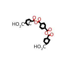 O=C(O)c1ccc(C(=O)OC(=O)c2ccc(C(=O)OC(=O)c3ccc(C(=O)O)cc3)cc2)cc1